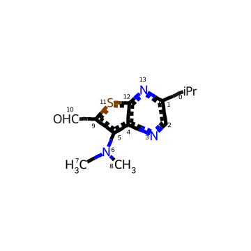 CC(C)c1cnc2c(N(C)C)c(C=O)sc2n1